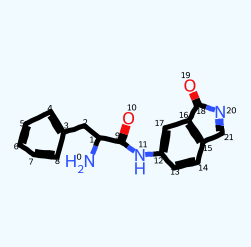 NC(Cc1ccccc1)C(=O)Nc1ccc2c(c1)C(=O)N=C2